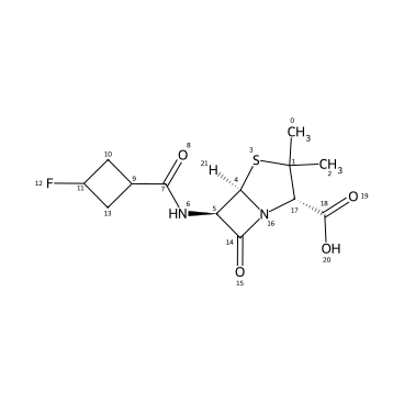 CC1(C)S[C@@H]2[C@H](NC(=O)C3CC(F)C3)C(=O)N2[C@H]1C(=O)O